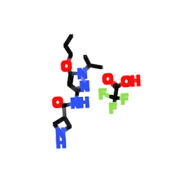 CCCOc1cc(NC(=O)C2CNC2)nn1C(C)C.O=C(O)C(F)(F)F